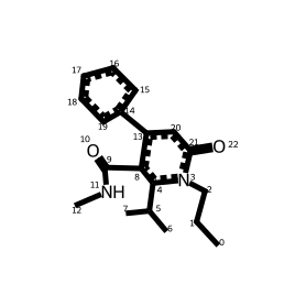 CCCn1c(C(C)C)c(C(=O)NC)c(-c2ccccc2)cc1=O